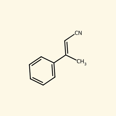 CC(=CC#N)c1ccccc1